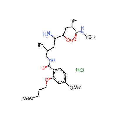 CCCCNC(=O)C(CC(O)C(N)CC(CNC(=O)c1ccc(OC)cc1OCCCOC)C(C)C)C(C)C.Cl